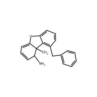 CC12C(=CC=CC1N)Oc1cccc(Cc3ccccc3)c12